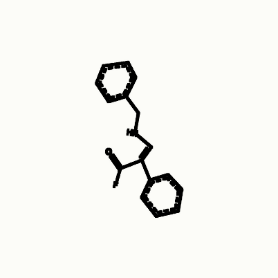 O=C(F)C(=CNCc1ccccc1)c1ccccc1